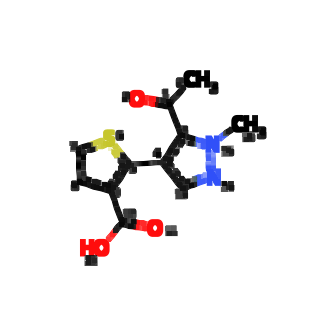 CC(=O)c1c(-c2sccc2C(=O)O)cnn1C